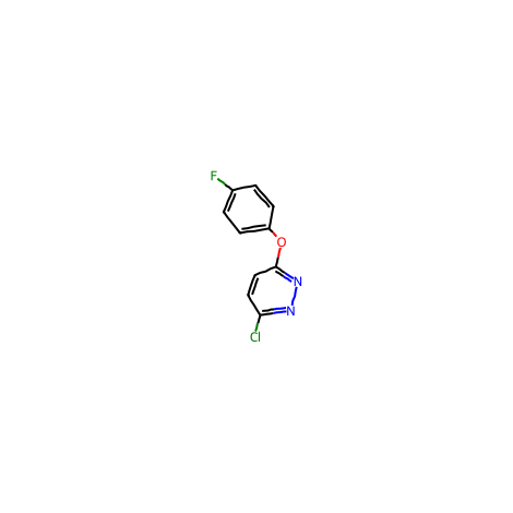 Fc1ccc(Oc2ccc(Cl)nn2)cc1